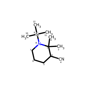 CC1(C)C(C#N)CCCN1[Si](C)(C)C